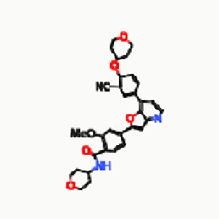 COc1cc(-c2cc3nccc(-c4ccc(OC5CCOCC5)c(C#N)c4)c3o2)ccc1C(=O)NC1CCOCC1